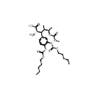 CCCCCOC(=O)Oc1ccc(C(C(C)C(C)OC(=O)OC)[C@H](N)C(=O)O)cc1OC(=O)OCCCCC